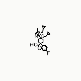 Cc1cnc([C@]2(OCC3CC3)CC[C@](C(=O)O)(c3ccc(F)cc3)CC2)n1CC1CC1